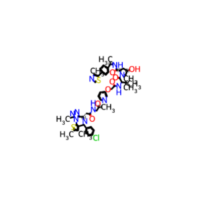 Cc1ncsc1-c1ccc([C@H](C)NC(=O)[C@@H]2C[C@@H](O)CN2C(=O)C(NC(=O)COc2ccc(O[C@@H](C)CNC(=O)C[C@@H]3N=C(c4ccc(Cl)cc4)c4c(sc(C)c4C)-n4c(C)nnc43)nc2)C(C)(C)C)cc1